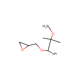 CCCC(OCC1CO1)C(C)(C)O[SiH3]